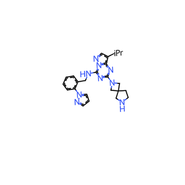 CC(C)c1cnn2c(NCc3ccccc3-n3cccn3)nc(N3CC4(CCNC4)C3)nc12